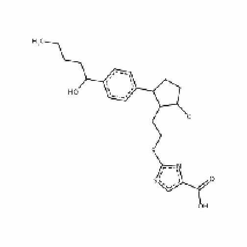 CCCCC(O)c1ccc(C2CCC(Cl)C2CCSc2nc(C(=O)O)cs2)cc1